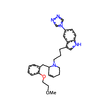 COCCOc1ccccc1CC1C=CCCN1CCCc1c[nH]c2ccc(-n3cnnc3)cc12